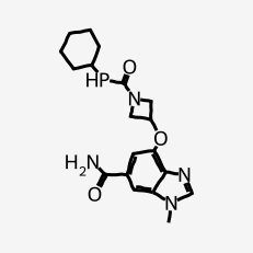 Cn1cnc2c(OC3CN(C(=O)PC4CCCCC4)C3)cc(C(N)=O)cc21